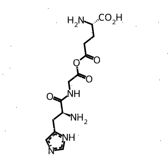 N[C@@H](CCC(=O)OC(=O)CNC(=O)[C@@H](N)Cc1cnc[nH]1)C(=O)O